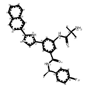 C[C@@H](NC(=O)c1cc(NC(=O)C(C)(C)N)cc(-c2cnc(-c3cc4ccccc4cn3)[nH]2)c1)c1ccc(F)cc1